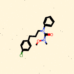 CON(C)C(=O)N(CCCc1ccc(Cl)cc1)c1ccccc1